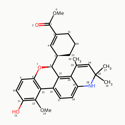 COC(=O)C1=C[C@H]([C@@H]2Oc3ccc(O)c(OC)c3-c3ccc4c(c32)C(C)=CC(C)(C)N4)CCC1